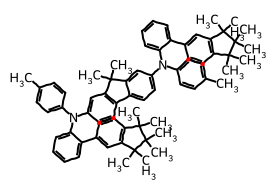 Cc1ccc(N(c2ccc3c(c2)C(C)(C)c2cc(N(c4ccc(C)cc4)c4ccccc4-c4ccc5c(c4)C(C)(C)C(C)(C)C5(C)C)ccc2-3)c2ccccc2-c2ccc3c(c2)C(C)(C)C(C)(C)C3(C)C)cc1